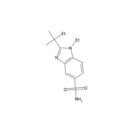 CCn1c(C(C)(C)CC)nc2cc(S(N)(=O)=O)ccc21